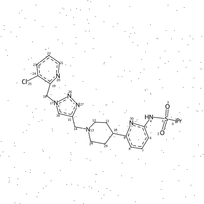 CC(C)S(=O)(=O)Nc1cccc(C2CCN(Cc3cn(Cc4ncccc4Cl)nn3)CC2)n1